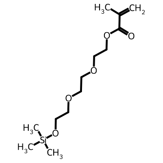 C=C(C)C(=O)OCCOCCOCCO[Si](C)(C)C